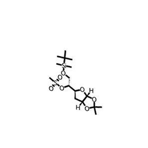 CC1(C)O[C@H]2O[C@H]([C@@H](CO[Si](C)(C)C(C)(C)C)OS(C)(=O)=O)C[C@H]2O1